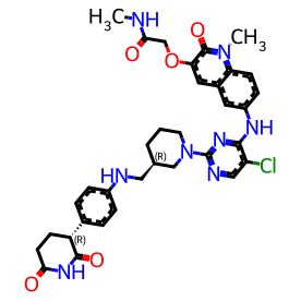 CNC(=O)COc1cc2cc(Nc3nc(N4CCC[C@H](CNc5ccc([C@H]6CCC(=O)NC6=O)cc5)C4)ncc3Cl)ccc2n(C)c1=O